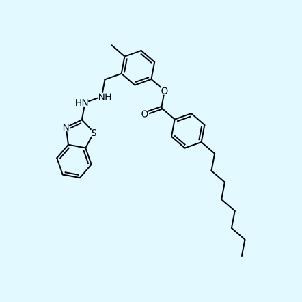 CCCCCCCCc1ccc(C(=O)Oc2ccc(C)c(CNNc3nc4ccccc4s3)c2)cc1